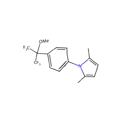 COC(c1ccc(-n2c(C)ccc2C)cc1)(C(F)(F)F)C(F)(F)F